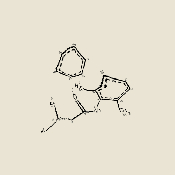 CCN(CC)CC(=O)Nc1c(C)cccc1C.c1ccccc1